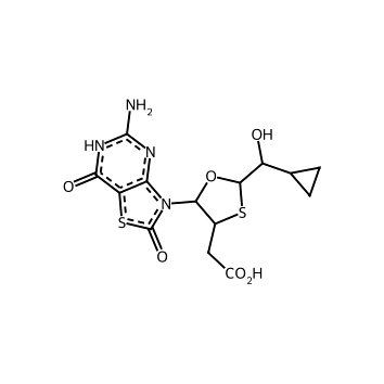 Nc1nc2c(sc(=O)n2C2OC(C(O)C3CC3)SC2CC(=O)O)c(=O)[nH]1